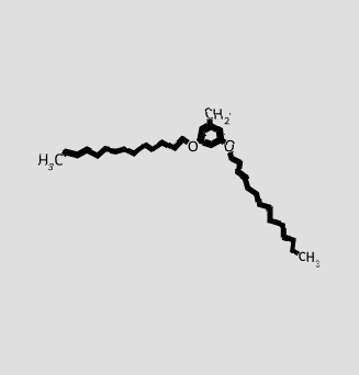 [CH2]c1cc(OCCCCCCCCCCCCCC)cc(OCCCCCCCCCCCCCC)c1